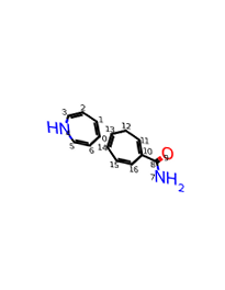 C1=CC=CNC=C1.NC(=O)C1=CCC=CC=C1